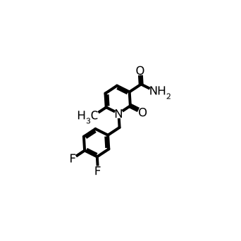 Cc1ccc(C(N)=O)c(=O)n1Cc1ccc(F)c(F)c1